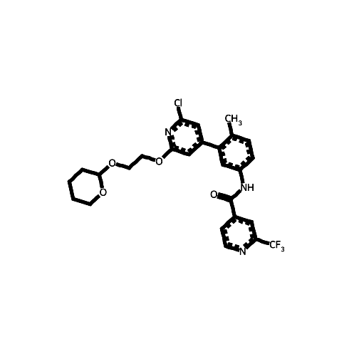 Cc1ccc(NC(=O)c2ccnc(C(F)(F)F)c2)cc1-c1cc(Cl)nc(OCCOC2CCCCO2)c1